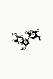 CCc1cn([C@H]2C[C@H](OC)[C@@H](OC(=O)P(O)O)O2)c(=O)[nH]c1=O